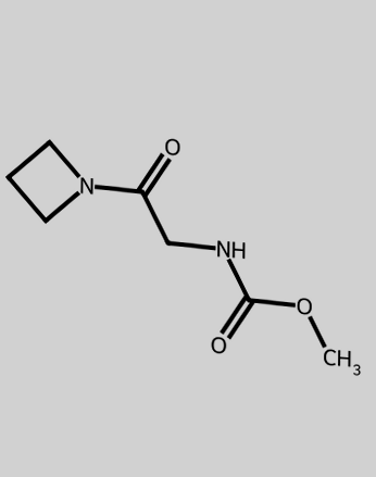 COC(=O)NCC(=O)N1CCC1